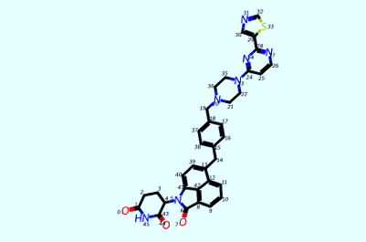 O=C1CCC(N2C(=O)c3cccc4c(Cc5ccc(CN6CCN(c7ccnc(-c8cncs8)n7)CC6)cc5)ccc2c34)C(=O)N1